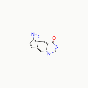 NC1=c2cc3c(cc2C=C1)=NC=NC3=O